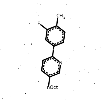 CCCCCCCCc1ccc(-c2ccc(C)c(F)c2)nc1